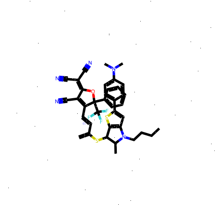 C=C(/C=C/C1=C(C#N)C(=C(C#N)C#N)OC1(c1ccccc1)C(F)(F)F)SC1c2sc(-c3ccc(N(C)C)cc3)cc2N(CCCC)C1C